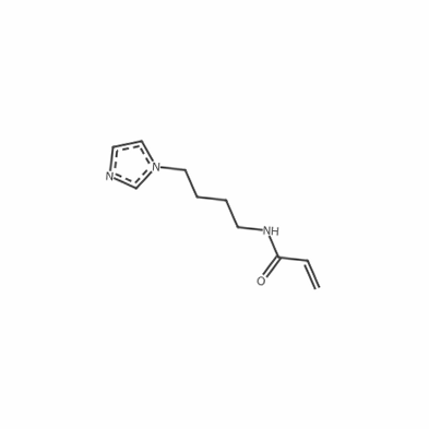 C=CC(=O)NCCCCn1ccnc1